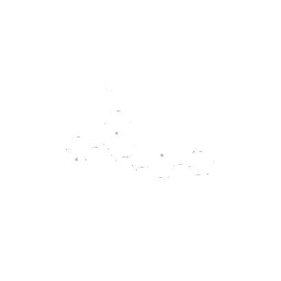 Cc1cc(NC(=O)NN(c2ccccc2)c2cccc(CN)c2)ccc1N1CCCCC1=O